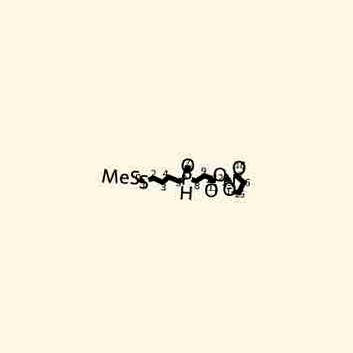 CSSCCCC[PH](=O)CCC(=O)ON1OCCC1=O